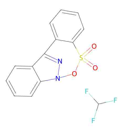 FC(F)F.O=S1(=O)On2nc(c3ccccc32)-c2ccccc21